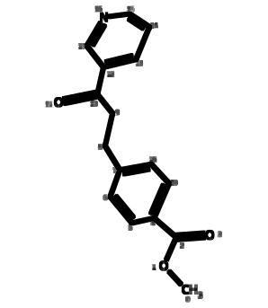 COC(=O)c1ccc(CCC(=O)c2cccnc2)cc1